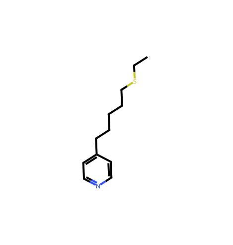 [CH2]CSCCCCCc1ccncc1